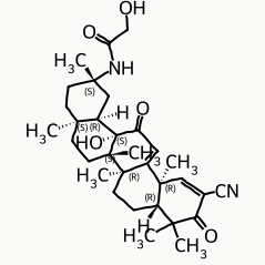 CC1(C)C(=O)C(C#N)=C[C@]2(C)C3=CC(=O)[C@]4(O)[C@@H]5C[C@@](C)(NC(=O)CO)CC[C@]5(C)CC[C@@]4(C)[C@]3(C)CC[C@@H]12